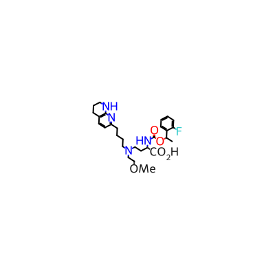 COCCN(CCCCc1ccc2c(n1)NCCC2)CCC(NC(=O)OC(C)c1ccccc1F)C(=O)O